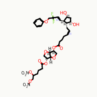 O=C(CCC/C=C\C[C@@H]1[C@@H](/C=C/C(F)(F)COc2ccccc2)[C@H](O)C[C@@H]1O)O[C@@H]1CO[C@H]2[C@@H]1OC[C@H]2OC(=O)CCCC(CO[N+](=O)[O-])O[N+](=O)[O-]